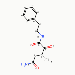 C[C@H](CC(N)=O)C(=O)C(=O)NCCc1ccccc1